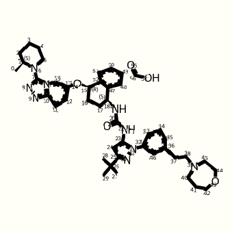 C[C@H]1CCCCN1c1nnc2ccc(O[C@@H]3CC[C@H](NC(=O)Nc4cc(C(C)(C)C)nn4-c4cccc(CCN5CCCOCC5)c4)c4ccccc43)cn12.O=CO